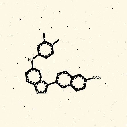 COc1ccc2cc(-c3cnc4ccc(Nc5ccc(C)c(C)c5)nn34)ccc2c1